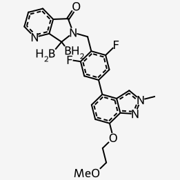 BC1(B)c2ncccc2C(=O)N1Cc1c(F)cc(-c2ccc(OCCOC)c3nn(C)cc23)cc1F